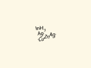 [Ag].[Ag].[Cu].[InH3].[Zn]